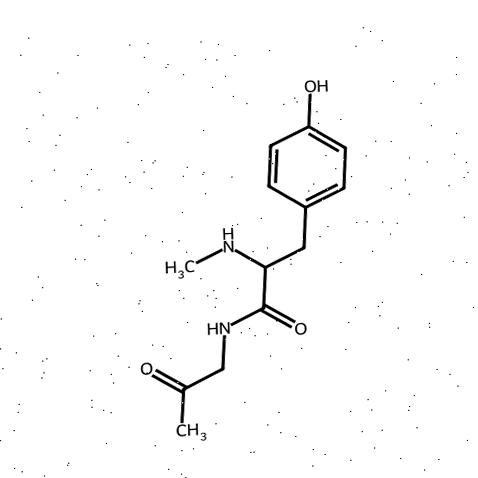 CNC(Cc1ccc(O)cc1)C(=O)NCC(C)=O